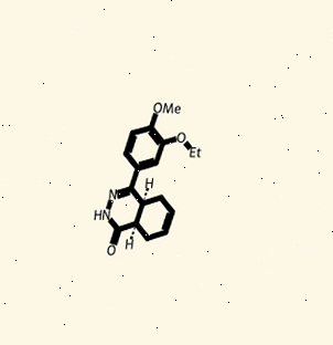 CCOc1cc(C2=NNC(=O)[C@@H]3CC=CC[C@H]23)ccc1OC